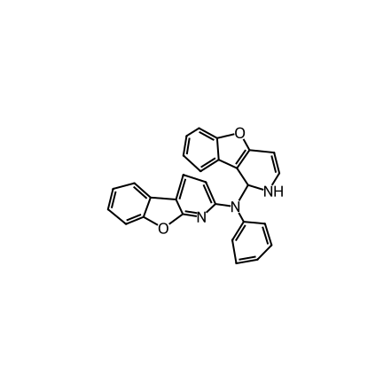 C1=Cc2oc3ccccc3c2C(N(c2ccccc2)c2ccc3c(n2)oc2ccccc23)N1